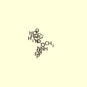 Cc1cc(Nc2nccc(C(F)(F)F)n2)cc(-c2cnc(C(C)(O)C34CC5CC(CC(C(=O)O)(C5)C3)C4)s2)c1